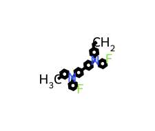 C=Cc1ccc(N(c2ccc(-c3ccc(N(c4cccc(C)c4)c4cccc(F)c4)cc3)cc2)c2cccc(F)c2)cc1